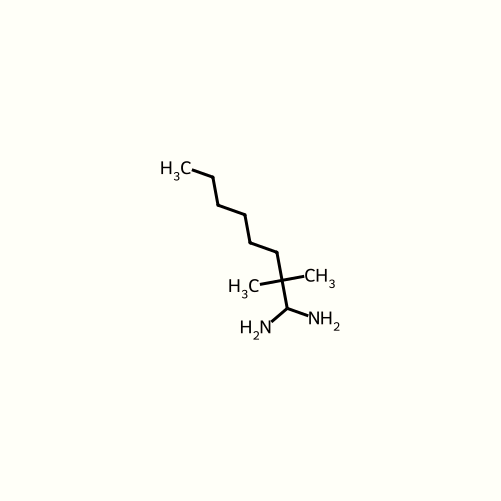 CCCCCCC(C)(C)C(N)N